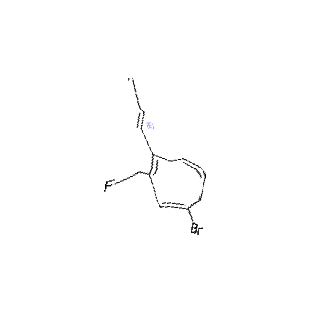 [CH2]/C=C/c1ccc(Br)cc1F